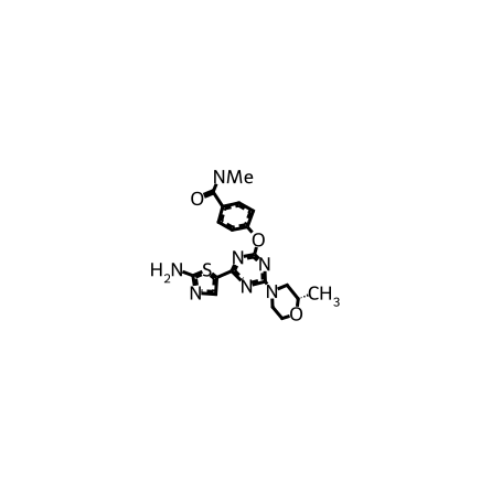 CNC(=O)c1ccc(Oc2nc(-c3cnc(N)s3)nc(N3CCO[C@@H](C)C3)n2)cc1